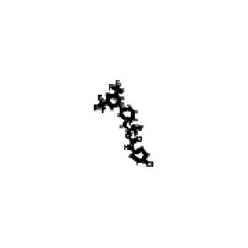 O=C(Nc1ccc(Cl)cc1)O[C@@H](CN1CCC[C@H](c2cc(C(F)(F)F)cc(C(F)(F)F)c2)C1)C(F)(F)F